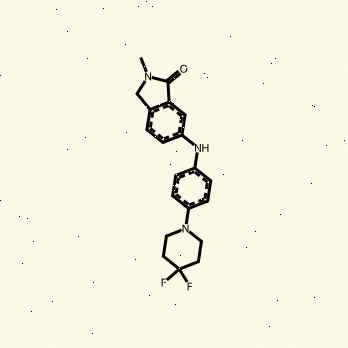 CN1Cc2ccc(Nc3ccc(N4CCC(F)(F)CC4)cc3)cc2C1=O